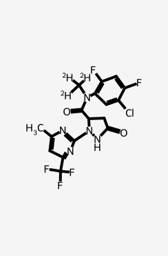 [2H]C([2H])([2H])N(C(=O)C1CC(=O)NN1c1nc(C)cc(C(F)(F)F)n1)c1cc(Cl)c(F)cc1F